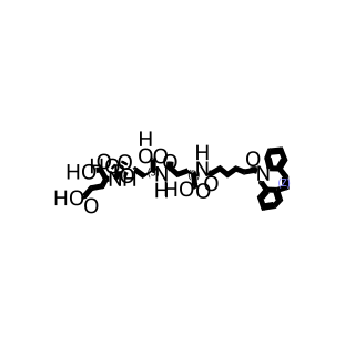 O=C(O)CCC(NP(=O)(O)OCC[C@H](NC(=O)CC[C@@H](NC(=O)CCCCC(=O)N1Cc2ccccc2/C=C\c2ccccc21)C(=O)O)C(=O)O)C(=O)O